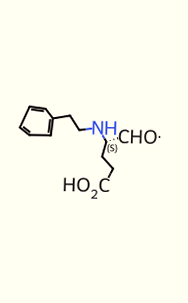 O=[C][C@H](CCC(=O)O)NCCc1ccccc1